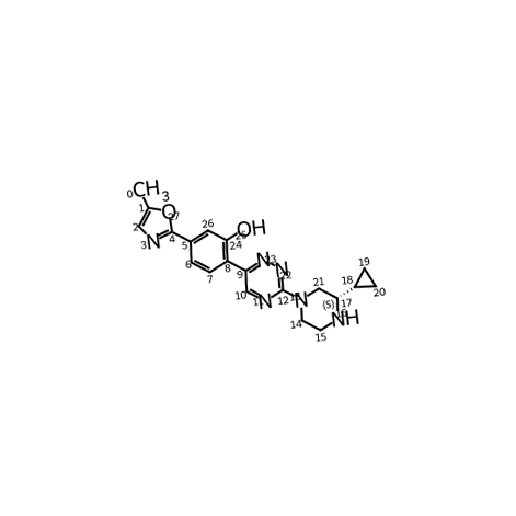 Cc1cnc(-c2ccc(-c3cnc(N4CCN[C@@H](C5CC5)C4)nn3)c(O)c2)o1